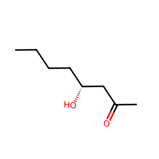 CCCC[C@@H](O)CC(C)=O